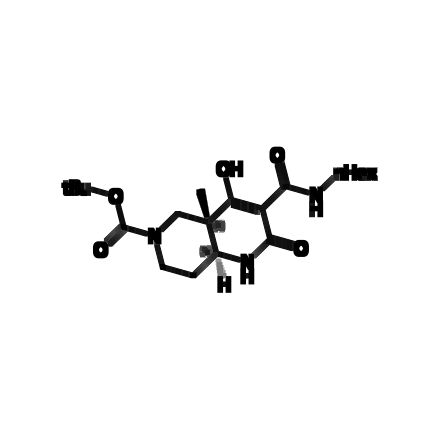 CCCCCCNC(=O)C1=C(O)[C@@]2(C)CN(C(=O)OC(C)(C)C)CC[C@@H]2NC1=O